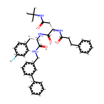 CC(C)(C)NC(=O)C[C@H](NC(=O)CCc1ccccc1)C(=O)N[C@@H](Cc1ccc(F)cc1)C(=O)NCc1cccc(-c2ccccc2)c1